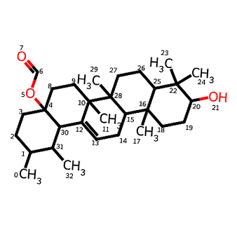 CC1CCC2(OC=O)CCC3(C)C(=CCC4C5(C)CCC(O)C(C)(C)C5CCC43C)C2C1C